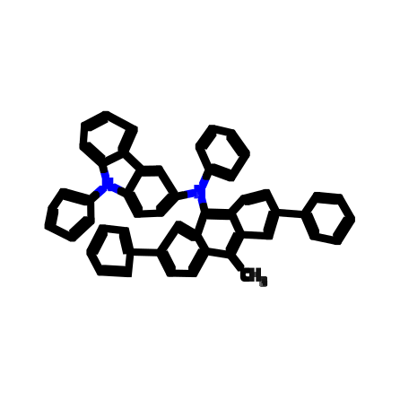 Cc1c2cc(-c3ccccc3)ccc2c(N(c2ccccc2)c2ccc3c(c2)c2ccccc2n3-c2ccccc2)c2cc(-c3ccccc3)ccc12